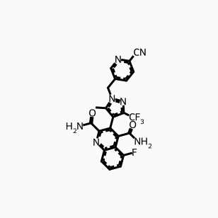 Cc1c(-c2c(C(N)=O)nc3cccc(F)c3c2C(N)=O)c(C(F)(F)F)nn1Cc1ccc(C#N)nc1